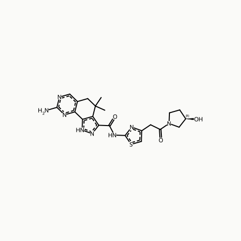 CC1(C)Cc2cnc(N)nc2-c2[nH]nc(C(=O)Nc3nc(CC(=O)N4CC[C@@H](O)C4)cs3)c21